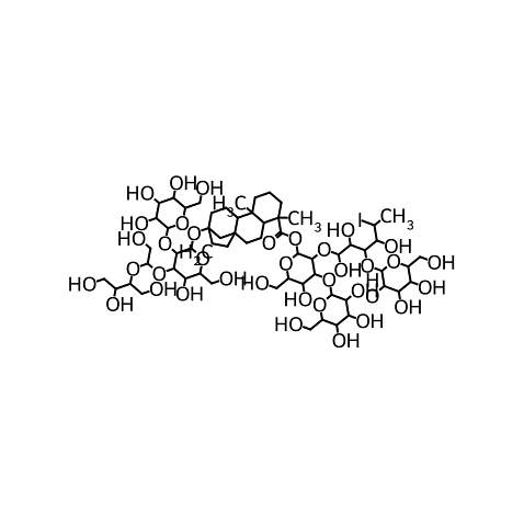 C=C1CC23CCC4C(C)(C(=O)OC5OC(CO)C(O)C(OC6OC(CO)C(O)C(O)C6O)C5OC(O)C(O)C(OC5OC(CO)C(O)C(O)C5O)C(O)C(C)I)CCCC4(C)C2CCC1(OC1OC(CO)C(O)C(OC(CO)OC(CO)C(O)CO)C1OC1OC(CO)C(O)C(O)C1O)C3